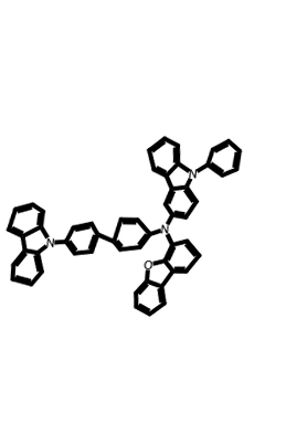 c1ccc(-n2c3ccccc3c3cc(N(c4ccc(-c5ccc(-n6c7ccccc7c7ccccc76)cc5)cc4)c4cccc5c4oc4ccccc45)ccc32)cc1